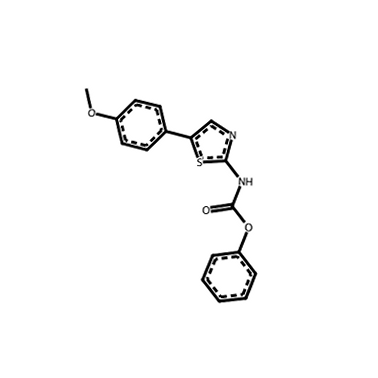 COc1ccc(-c2cnc(NC(=O)Oc3ccccc3)s2)cc1